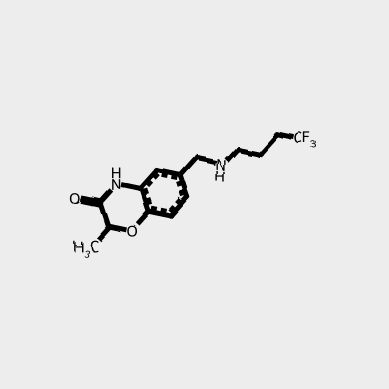 CC1Oc2ccc(CNCCCC(F)(F)F)cc2NC1=O